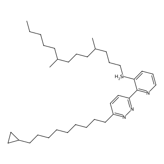 CCCCCC(C)CCCC(C)CCC[SiH2]c1cccnc1-c1ccc(CCCCCCCCCC2CC2)nn1